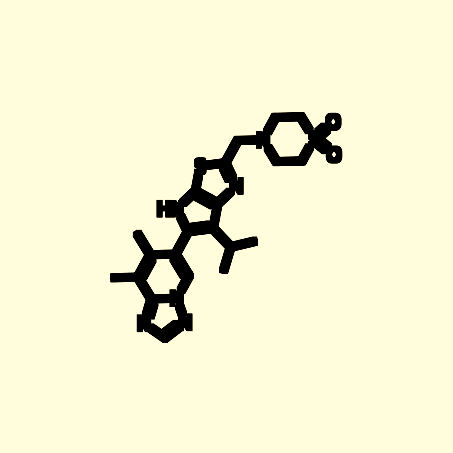 Cc1c(-c2[nH]c3sc(CN4CCS(=O)(=O)CC4)nc3c2C(C)C)cn2ncnc2c1C